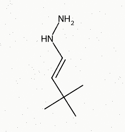 CC(C)(C)/C=C/NN